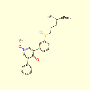 CCCCCC(CCC)CCC[S+]([O-])c1cccc(-c2cn(OCC)cc(-c3ccccc3)c2=O)c1